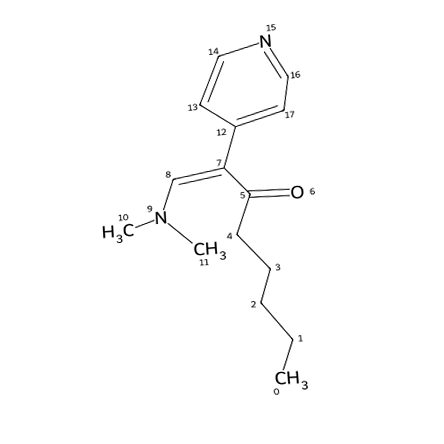 CCCCCC(=O)C(=CN(C)C)c1ccncc1